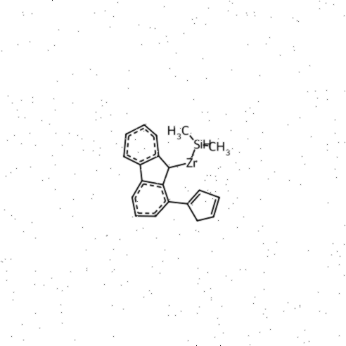 C[SiH](C)[Zr][CH]1c2ccccc2-c2cccc(C3=CC=CC3)c21